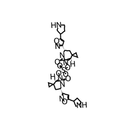 O=C1N2C[C@H](N1OS(=O)(=O)ON1C(=O)N3C[C@H]1C1(CC1)C[C@H]3c1cc(C3CCNC3)on1)C1(CC1)C[C@H]2c1cc(C2CCNC2)on1